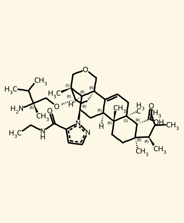 CCNC(=O)c1ccnn1[C@@H]1C[C@@]23COC[C@](C)([C@@H]2CC[C@H]2C3=CC[C@@]3(C)[C@H](C(=O)O)[C@@](C)([C@H](C)C(C)C)CC[C@]23C)[C@H]1OC[C@](C)(N)C(C)C